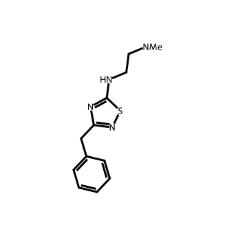 CNCCNc1nc(Cc2ccccc2)ns1